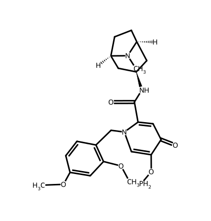 COc1ccc(Cn2cc(OP)c(=O)cc2C(=O)N[C@H]2C[C@H]3CC[C@@H](C2)N3C)c(OC)c1